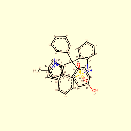 Cc1ccc(C(c2ccccc2)(c2ccc(O)cc2)c2ccccc2NS(=O)(=O)c2cccc3ccccc23)[nH]1